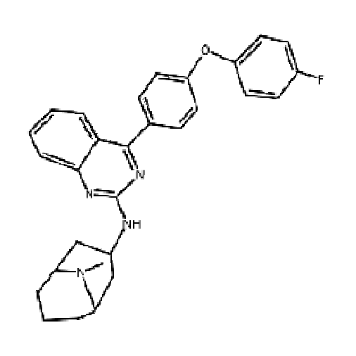 CN1C2CCCC1CC(Nc1nc(-c3ccc(Oc4ccc(F)cc4)cc3)c3ccccc3n1)C2